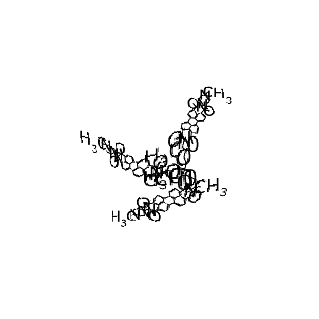 CCC(COCC(C)N1C(=O)c2ccc3c4ccc5c6c(ccc(c7ccc(c2c37)C1=O)c64)C(=O)N(N1CCN(C)CC1)C5=O)(COCC(C)N1C(=O)c2ccc3c4ccc5c6c(ccc(c7ccc(c2c37)C1=O)c64)C(=O)N(N1CCN(C)CC1)C5=O)COCC(C)N1C(=O)c2ccc3c4ccc5c6c(ccc(c7ccc(c2c37)C1=O)c64)C(=O)N(N1CCN(C)CC1)C5=O